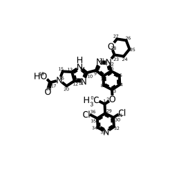 CC(Oc1ccc2c(c1)c(-c1nc3c([nH]1)CN(C(=O)O)C3)nn2C1CCCCO1)c1c(Cl)cncc1Cl